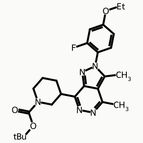 CCOc1ccc(-n2nc3c(C4CCCN(C(=O)OC(C)(C)C)C4)nnc(C)c3c2C)c(F)c1